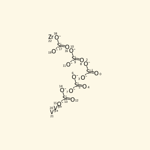 O=[Si]([O-])[O-].O=[Si]([O-])[O-].O=[Si]([O-])[O-].O=[Si]([O-])[O-].O=[Si]([O-])[O-].[V+5].[V+5].[Zr]